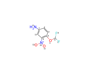 Nc1ccc(OC(F)F)c([N+](=O)[O-])c1